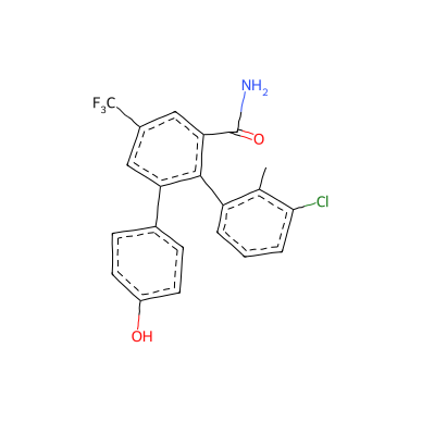 Cc1c(Cl)cccc1-c1c(C(N)=O)cc(C(F)(F)F)cc1-c1ccc(O)cc1